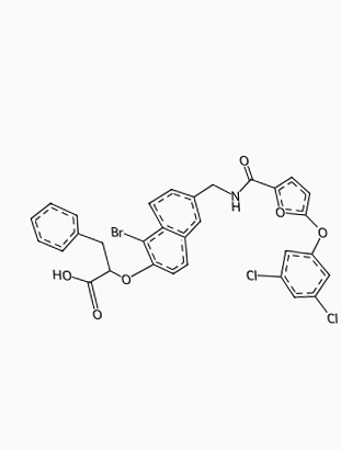 O=C(NCc1ccc2c(Br)c(OC(Cc3ccccc3)C(=O)O)ccc2c1)c1ccc(Oc2cc(Cl)cc(Cl)c2)o1